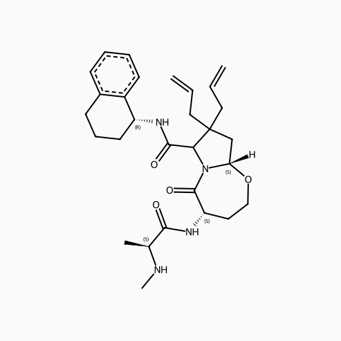 C=CCC1(CC=C)C[C@@H]2OCC[C@H](NC(=O)[C@H](C)NC)C(=O)N2C1C(=O)N[C@@H]1CCCc2ccccc21